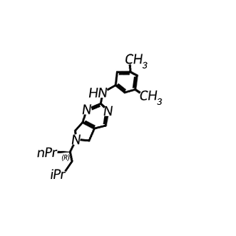 CCC[C@H](CC(C)C)N1Cc2cnc(Nc3cc(C)cc(C)c3)nc2C1